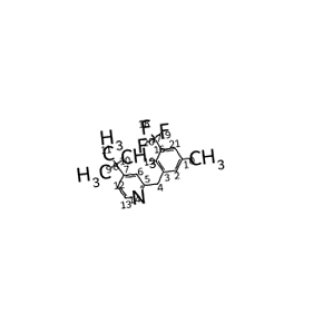 Cc1cc(Cc2cc(C(C)(C)C)ccn2)cc(C(F)(F)F)c1